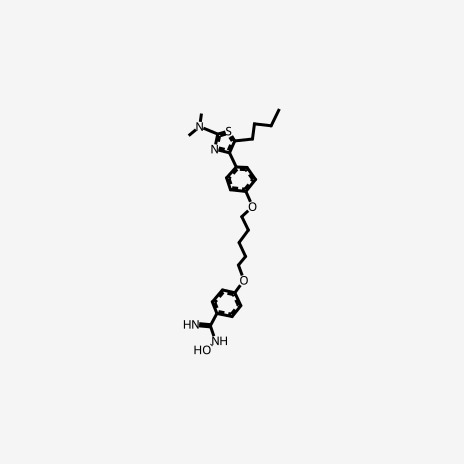 CCCCc1sc(N(C)C)nc1-c1ccc(OCCCCCOc2ccc(C(=N)NO)cc2)cc1